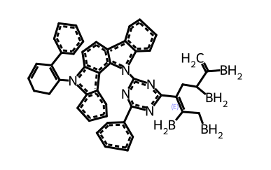 BC/C(B)=C(\CC(B)C(B)=C)c1nc(-c2ccccc2)nc(-n2c3ccccc3c3ccc4c(c5ccccc5n4C4=C(c5ccccc5)C=CCC4)c32)n1